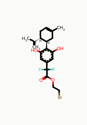 C=C(C)[C@@H]1CC=C(C)C[C@H]1c1c(O)cc(C(F)(F)C(=O)OCCBr)cc1O